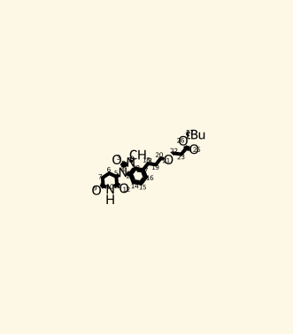 Cn1c(=O)n(C2CCC(=O)NC2=O)c2cccc(CCCOCCC(=O)OC(C)(C)C)c21